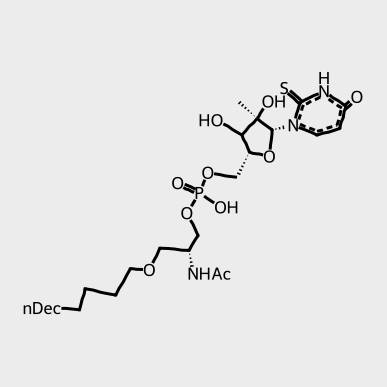 CCCCCCCCCCCCCCOC[C@H](COP(=O)(O)OC[C@H]1O[C@@H](n2ccc(=O)[nH]c2=S)[C@](C)(O)C1O)NC(C)=O